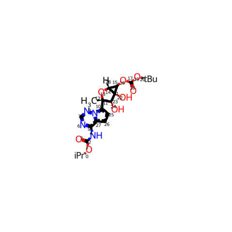 CC(C)OC(=O)Nc1ncnn2c([C@]3(C)O[C@@H]4C(OC(=O)OC(C)(C)C)[C@]4(O)[C@H]3O)ccc12